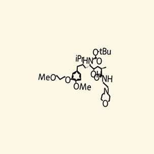 COCCCOc1cc(C[C@@H](C[C@H](NC(=O)OC(C)(C)C)[C@@H](O)C[C@@H](C)C(=O)NCCN2CCOCC2)C(C)C)ccc1OC